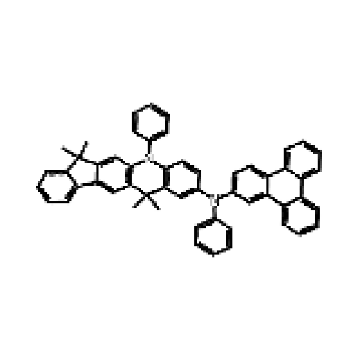 CC1(C)c2ccccc2-c2cc3c(cc21)N(c1ccccc1)c1ccc(N(c2ccccc2)c2ccc4c5ccccc5c5ccccc5c4c2)cc1C3(C)C